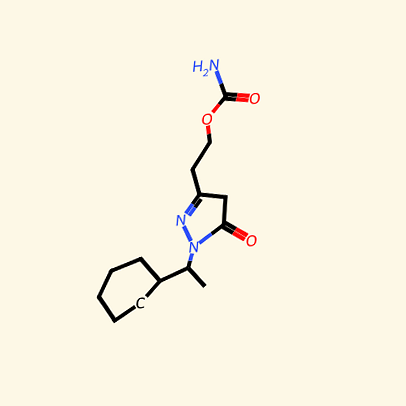 CC(C1CCCCC1)N1N=C(CCOC(N)=O)CC1=O